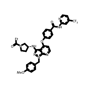 CCC(=O)N1CC[C@@H](Nc2nn(Cc3ccc(OC)cc3)c3nccc(Oc4ccc(C(=O)Nc5cc(C(F)(F)F)ccn5)cc4)c23)C1